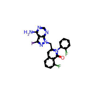 Nc1ncnc2c1c(I)nn2Cc1cc2cccc(F)c2c(=O)n1-c1ccccc1F